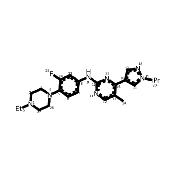 CCN1CCN(c2ccc(Nc3ncc(C)c(-c4cnn(C(C)C)c4)n3)cc2F)CC1